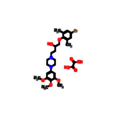 COc1cc(N2CCN(CCC(O)COc3c(C)cc(Br)cc3C)CC2)cc(OC)c1OC.O=C(O)C(=O)O